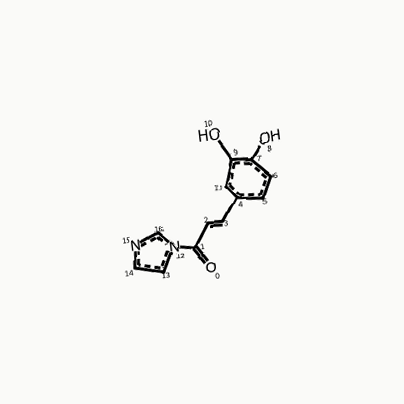 O=C(C=Cc1ccc(O)c(O)c1)n1ccnc1